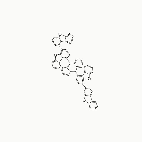 c1ccc2c(c1)oc1cc(-c3ccc(-c4c5ccccc5c(-c5ccc(-c6cccc7oc8ccccc8c67)c6oc7ccccc7c56)c5ccccc45)c4c3oc3ccccc34)ccc12